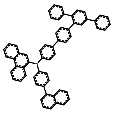 c1ccc(-c2ccc(-c3ccccc3)c(-c3ccc(-c4ccc(N(c5ccc(-c6cccc7ccccc67)cc5)c5cc6ccccc6c6ccccc56)cc4)cc3)c2)cc1